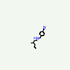 C=CCC(C)CCNCc1ccc(C#N)cc1